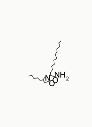 CCCCCCCCCCCCC(C(N)=O)N1CC(CCCCC)CC1=O